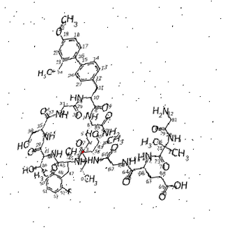 CCCCCC[C@H](NC(=O)[C@H](Cc1ccc(-c2ccc(OC)cc2CC)cc1)NC(=O)CNC(=O)[C@H](CO)NC(=O)[C@@H](NC(=O)[C@](C)(Cc1ccccc1F)NC(=O)[C@@H](NC(=O)CNC(=O)[C@H](CCC(=O)O)NC(=O)C(C)(C)NC(=O)CN)[C@@H](C)O)[C@@H](C)O)C(N)=O